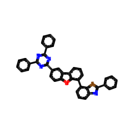 c1ccc(-c2nc(-c3ccccc3)nc(-c3ccc4oc5c(-c6cccc7nc(-c8ccccc8)sc67)cccc5c4c3)n2)cc1